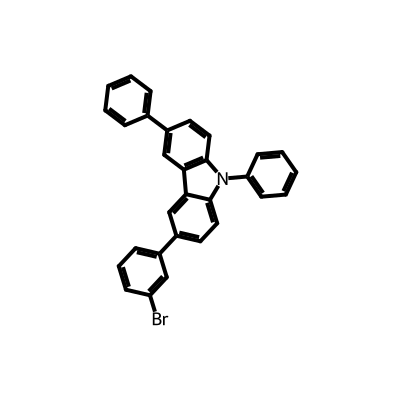 Brc1cccc(-c2ccc3c(c2)c2cc(-c4ccccc4)ccc2n3-c2ccccc2)c1